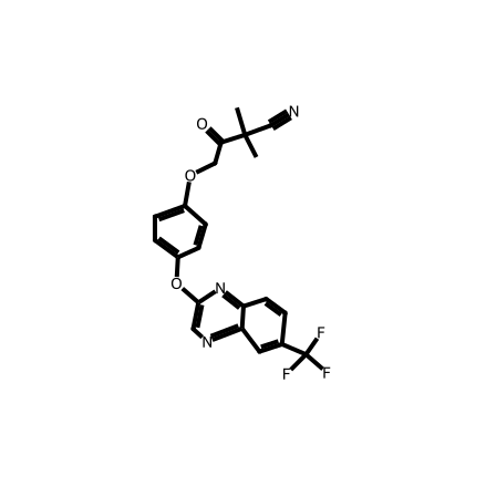 CC(C)(C#N)C(=O)COc1ccc(Oc2cnc3cc(C(F)(F)F)ccc3n2)cc1